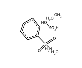 NS(=O)(=O)c1ccccc1.O.O.O.O=S(=O)(O)O